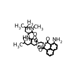 CNC(=O)[C@H](CC(C)C)NC(=O)C(CC(C)C)CP(=O)(O)CN1C(=O)c2cccc3ccc(N)c(c23)C1=O